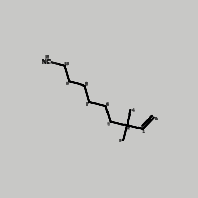 C=CC(C)(C)CCCCCCC#N